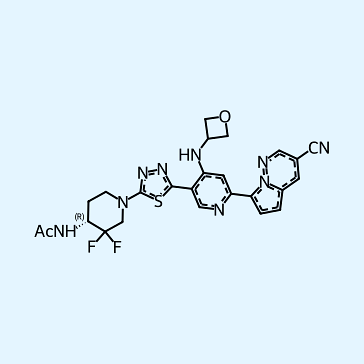 CC(=O)N[C@@H]1CCN(c2nnc(-c3cnc(-c4ccc5cc(C#N)cnn45)cc3NC3COC3)s2)CC1(F)F